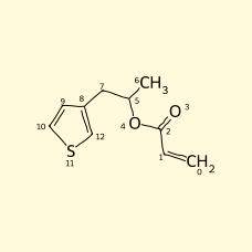 C=CC(=O)OC(C)Cc1ccsc1